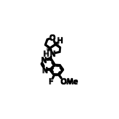 COc1ccc2c(N3CC[C@H]4OCC[C@H]43)ncnc2c1F